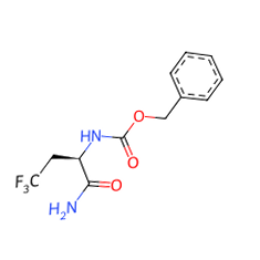 NC(=O)[C@@H](CC(F)(F)F)NC(=O)OCc1ccccc1